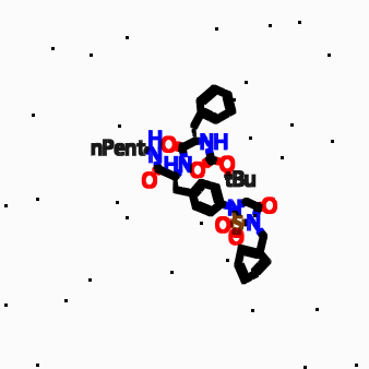 CCCCCNC(=O)[C@H](Cc1ccc(N2CC(=O)N(Cc3ccccc3)S2(=O)=O)cc1)NC(=O)[C@H](Cc1ccccc1)NC(=O)OC(C)(C)C